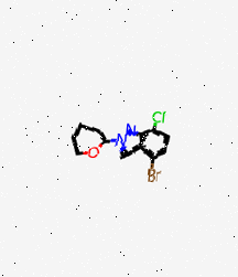 Clc1ccc(Br)c2cn(C3CCCCO3)nc12